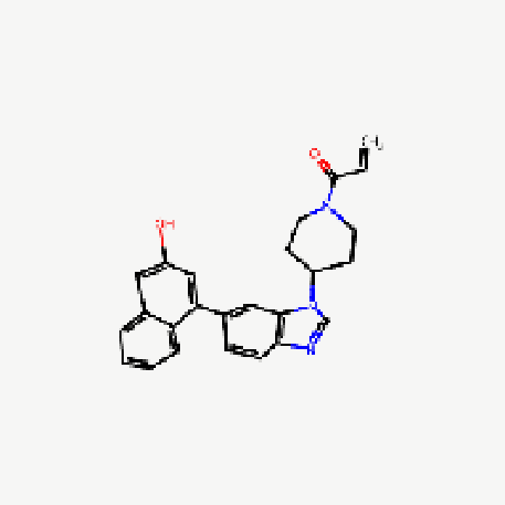 C=CC(=O)N1CCC(n2cnc3ccc(-c4cc(O)cc5ccccc45)cc32)CC1